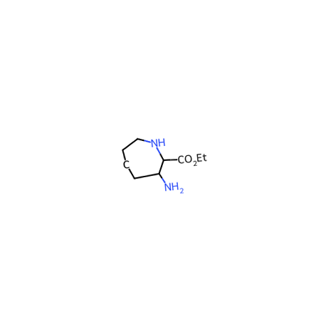 CCOC(=O)C1NCCCCC1N